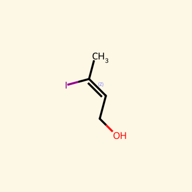 C/C(I)=C/CO